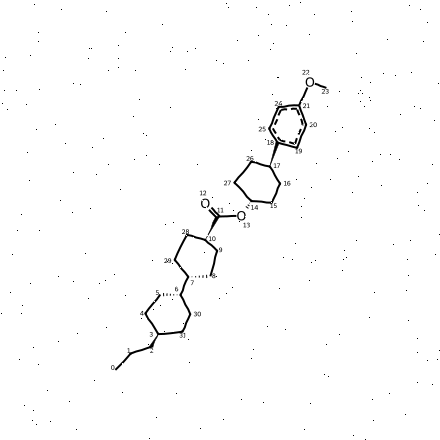 CCC[C@H]1CC[C@H]([C@H]2CC[C@H](C(=O)O[C@H]3CC[C@H](c4ccc(OC)cc4)CC3)CC2)CC1